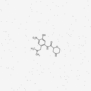 CN(C)Cc1cc([N+](=O)[O-])c(O)cc1NC(=O)C1CNCCO1